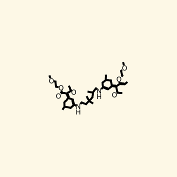 CC=C(OCCOC)/C(C(C)=O)=C1/C=C(NCC(C)CC(C)(C)CCNC2=C/C(=C(\C(C)=O)C(=O)OCCOC)CC(C)C2)CC(C)C1